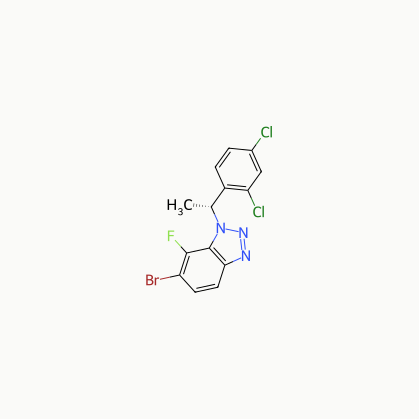 C[C@H](c1ccc(Cl)cc1Cl)n1nnc2ccc(Br)c(F)c21